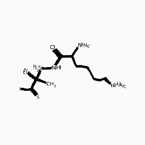 CCC(C)([SiH2]NC(=O)C(CCCCNC(C)=O)NC(C)=O)C(=S)I